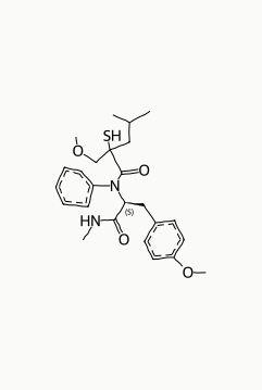 CNC(=O)[C@H](Cc1ccc(OC)cc1)N(C(=O)C(S)(COC)CC(C)C)c1ccccc1